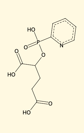 O=C(O)CCC(OP(=O)(O)c1ccccn1)C(=O)O